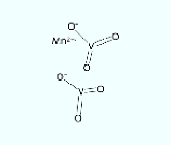 [Mn+2].[O]=[V](=[O])[O-].[O]=[V](=[O])[O-]